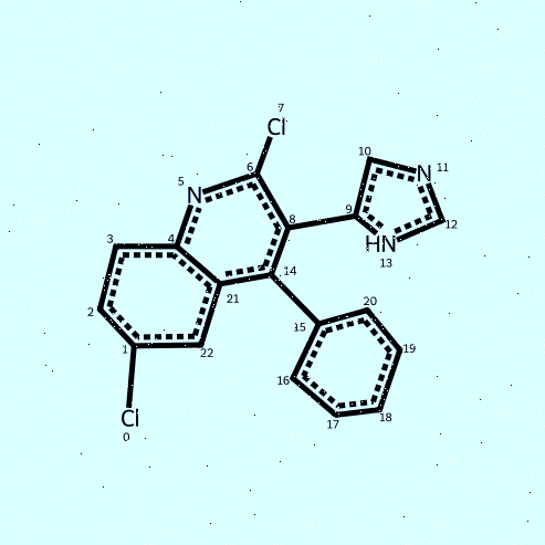 Clc1ccc2nc(Cl)c(-c3cnc[nH]3)c(-c3ccccc3)c2c1